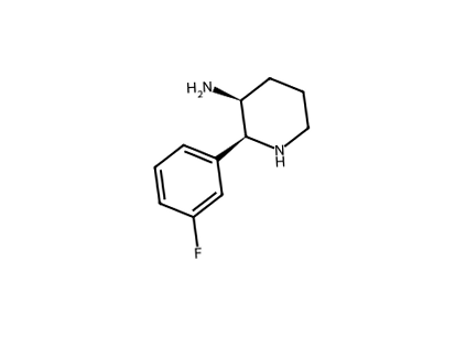 N[C@H]1CCCN[C@H]1c1cccc(F)c1